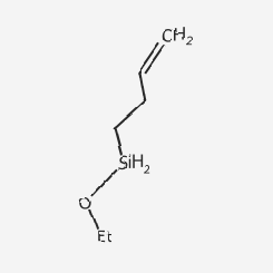 C=CCC[SiH2]OCC